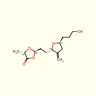 C=C1C[C@H](CCCO)O[C@H]1CC[C@H]1OC(=O)[C@H](C)O1